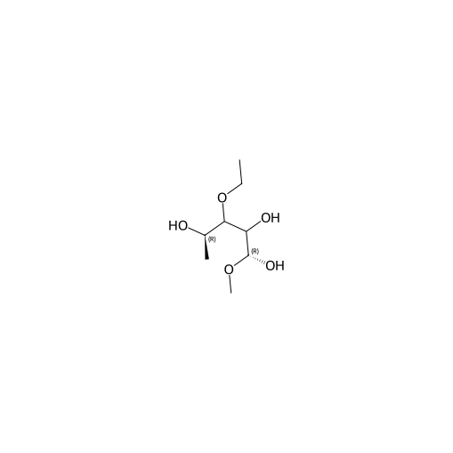 CCOC(C(O)[C@H](O)OC)[C@@H](C)O